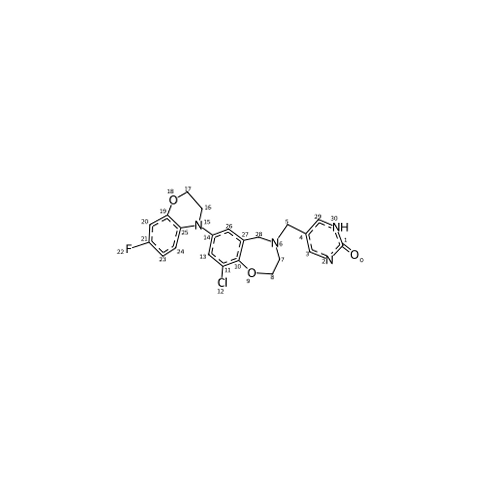 O=c1ncc(CN2CCOc3c(Cl)cc(N4CCOc5cc(F)ccc54)cc3C2)c[nH]1